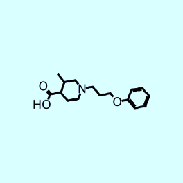 CC1CN(CCCOc2ccccc2)CCC1C(=O)O